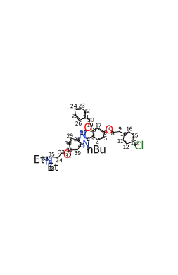 CCCCn1c(-c2ccc(OCCc3ccc(Cl)cc3)cc2OCc2ccccc2)nc2ccc(OCCCN(CC)CC)cc21